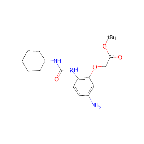 CC(C)(C)OC(=O)COc1cc(N)ccc1NC(=O)NC1CCCCC1